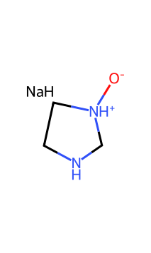 [NaH].[O-][NH+]1CCNC1